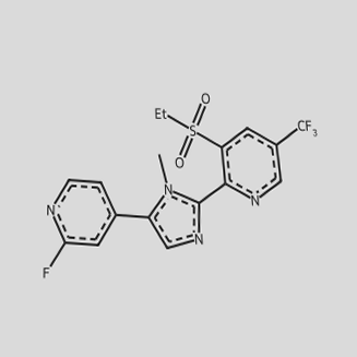 CCS(=O)(=O)c1cc(C(F)(F)F)cnc1-c1ncc(-c2ccnc(F)c2)n1C